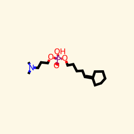 CN(C)CCCOP(=O)(O)OCCCCC=C1CCCCC1